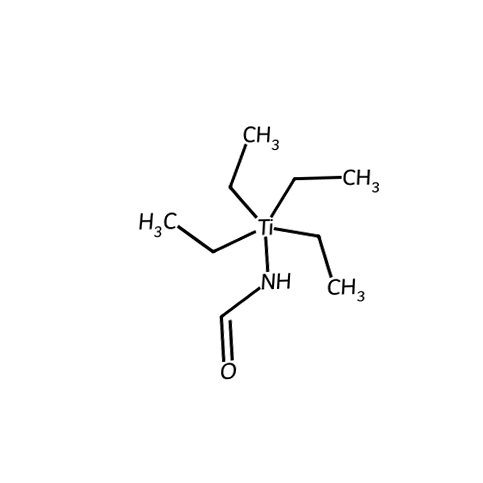 C[CH2][Ti]([CH2]C)([CH2]C)([CH2]C)[NH]C=O